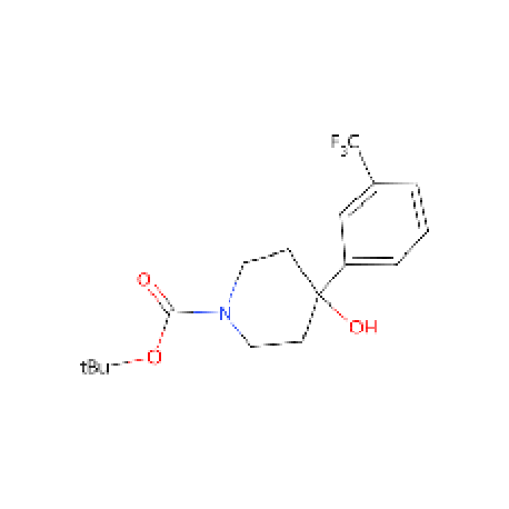 CC(C)(C)OC(=O)N1CCC(O)(c2cccc(C(F)(F)F)c2)CC1